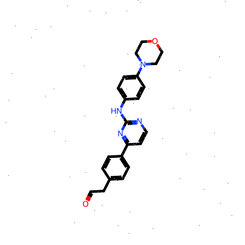 O=CCc1ccc(-c2ccnc(Nc3ccc(N4CCOCC4)cc3)n2)cc1